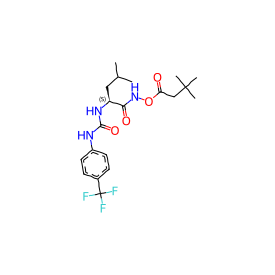 CC(C)C[C@H](NC(=O)Nc1ccc(C(F)(F)F)cc1)C(=O)NOC(=O)CC(C)(C)C